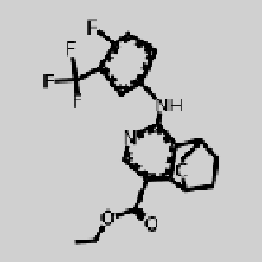 CCOC(=O)c1cnc(Nc2ccc(F)c(C(F)(F)F)c2)c2c1C1CCC2CC1